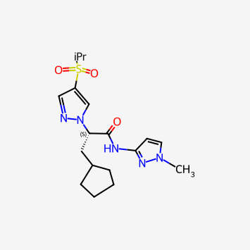 CC(C)S(=O)(=O)c1cnn([C@@H](CC2CCCC2)C(=O)Nc2ccn(C)n2)c1